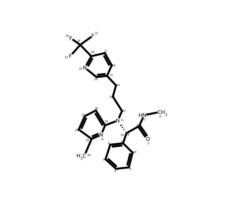 CNC(=O)[C@H](c1ccccc1)N(CCCc1ccc(C(F)(F)F)nc1)c1cccc(C)n1